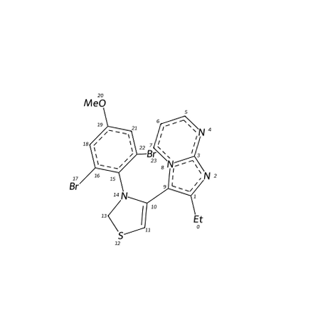 CCc1nc2ncccn2c1C1=CSCN1c1c(Br)cc(OC)cc1Br